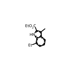 CCOC(=O)c1[nH]c2c(CC)cccc2c1C